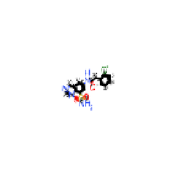 NS(=O)(=O)c1cc(NC(=O)Cc2ccccc2Cl)cc2cncnc12